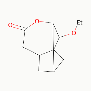 CCOC1C2CC3CC2CC(=O)OC31